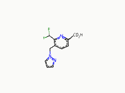 O=C(O)c1ccc(Cn2cccn2)c(C(F)F)n1